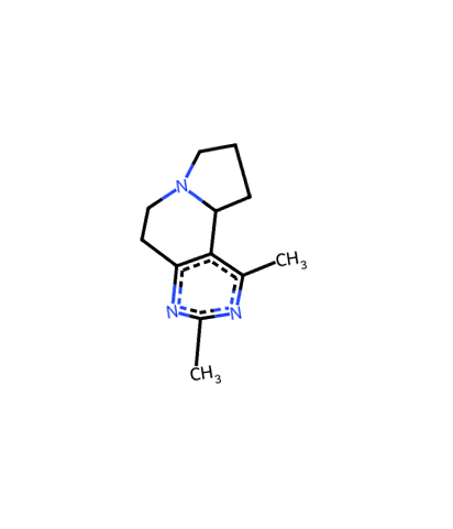 Cc1nc(C)c2c(n1)CCN1CCCC21